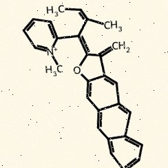 C=c1/c(=C(\C(C)=C/C)c2cccc[n+]2C)oc2cc3cc4ccccc4cc3cc12